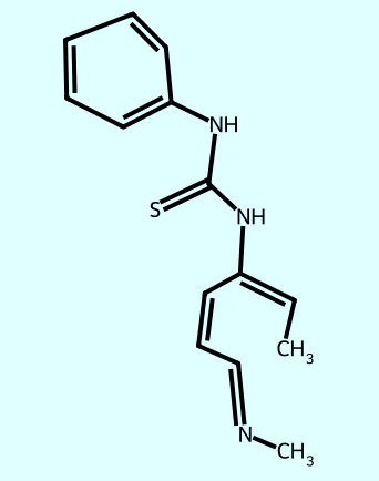 C\C=C(/C=C\C=N\C)NC(=S)Nc1ccccc1